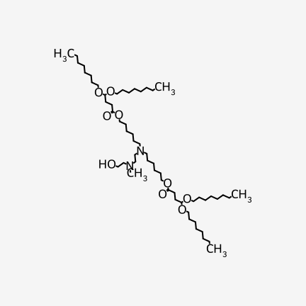 CCCCCCCCOC(CCC(=O)OCCCCCCN(CCCCCCOC(=O)CCC(OCCCCCCCC)OCCCCCCCC)CCN(C)CCO)OCCCCCCCC